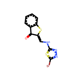 O=C1C(=CNc2nnc(Br)s2)Sc2ccccc21